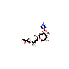 CC[C@H](O)[C@@H](C)[C@H]1O[C@@H]1C[C@H](C)/C=C/C=C(\C)[C@H]1OC(=O)C[C@H](O)CC[C@H](C)[C@@H](OC(=O)N2CCNCC2)/C=C/[C@@H]1C